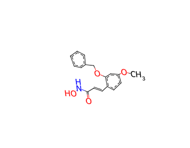 COc1ccc(/C=C/C(=O)NO)c(OCc2ccccc2)c1